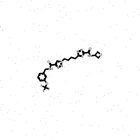 O=C(NCc1cccc(OC(F)(F)F)c1)c1cn(CCCCc2nnc(C(=O)NC3COC3)s2)nn1